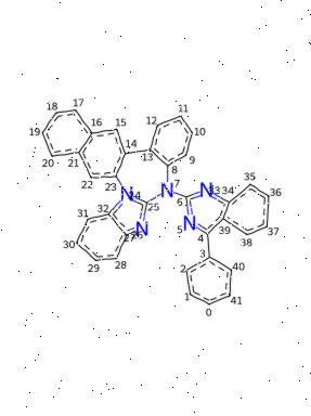 c1ccc(-c2nc(N3c4ccccc4-c4cc5ccccc5cc4-n4c3nc3ccccc34)nc3ccccc23)cc1